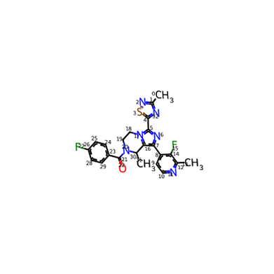 Cc1nsc(-c2nc(-c3ccnc(C)c3F)c3n2CCN(C(=O)c2ccc(F)cc2)C3C)n1